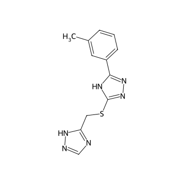 Cc1cccc(-c2nnc(SCc3ncn[nH]3)[nH]2)c1